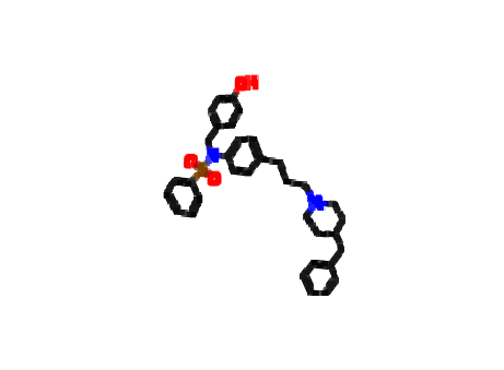 O=S(=O)(c1ccccc1)N(Cc1ccc(O)cc1)c1ccc(CCCN2CCC(Cc3ccccc3)CC2)cc1